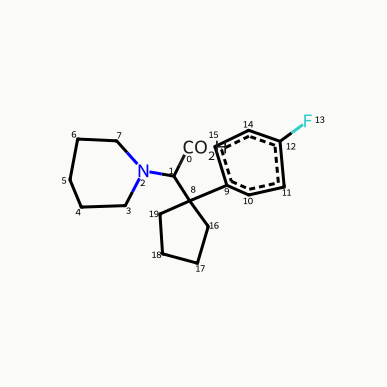 O=C(O)C(N1CCCCC1)C1(c2ccc(F)cc2)CCCC1